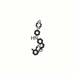 Cc1cccc(F)c1Cn1c(=O)ccc2ccc(Nc3ccc(N4CCN(C)CC4)cc3)cc21